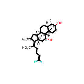 CC(=O)O[C@H]1C[C@@]2(C)[C@@H](C[C@@H](O)[C@H]3[C@@]4(C)CC[C@@H](O)[C@@H](C)[C@@H]4CC[C@@]32C)C1=C(CCC=C(F)F)C(=O)O